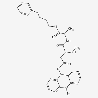 CNC(CC(=O)OC1c2ccccc2[S+]([O-])c2ccccc21)C(=O)NC(C)C(=O)OCCCCc1ccccc1